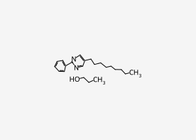 CCCCCCCCCc1cnc(-c2ccccc2)nc1.CCCO